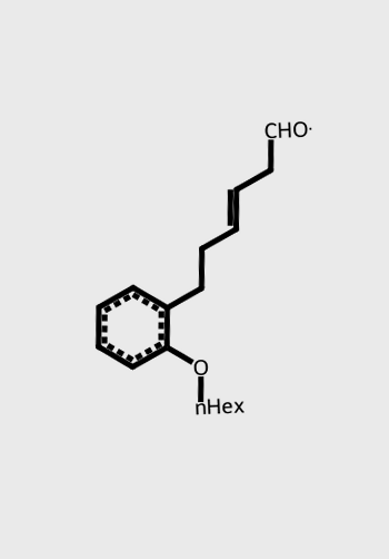 CCCCCCOc1ccccc1CC/C=C/C[C]=O